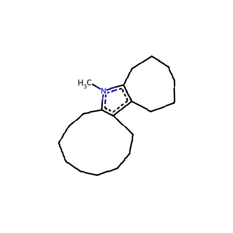 Cn1c2c(c3c1CCCCCC3)CCCCCCCCC2